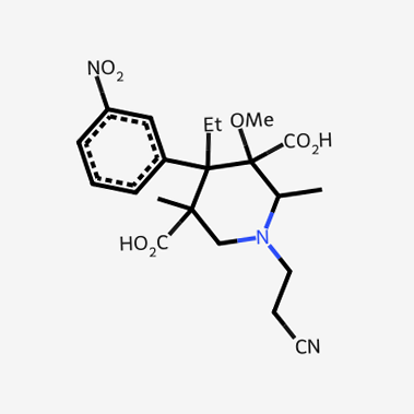 CCC1(c2cccc([N+](=O)[O-])c2)C(C)(C(=O)O)CN(CCC#N)C(C)C1(OC)C(=O)O